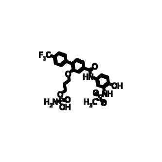 CS(=O)(=O)Nc1cc(NC(=O)c2ccc(-c3ccc(C(F)(F)F)cc3)c(OCCCOP(N)(=O)O)c2)ccc1O